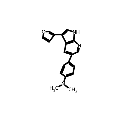 CN(C)c1ccc(-c2cnc3[nH]cc(-c4ccoc4)c3c2)cc1